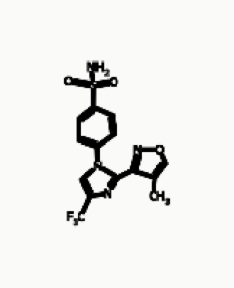 Cc1conc1-c1nc(C(F)(F)F)cn1-c1ccc(S(N)(=O)=O)cc1